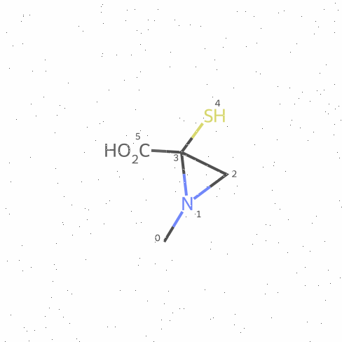 CN1CC1(S)C(=O)O